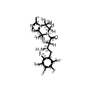 [2H]c1c(F)c(F)c([2H])c(C[C@@H](N)C([2H])([2H])C(=O)N2C([2H])([2H])c3nnc(C)n3C([2H])([2H])C2([2H])[2H])c1F